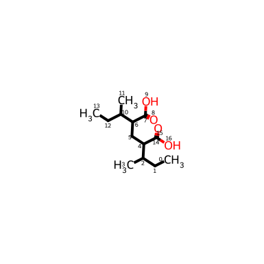 CCC(C)C(CC(C(=O)O)C(C)CC)C(=O)O